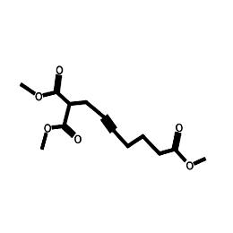 COC(=O)CCCC#CCC(C(=O)OC)C(=O)OC